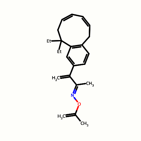 C=C(C)O/N=C(\C)C(=C)c1ccc2c(c1)C(CC)(CC)C/C=C\C=C/C2